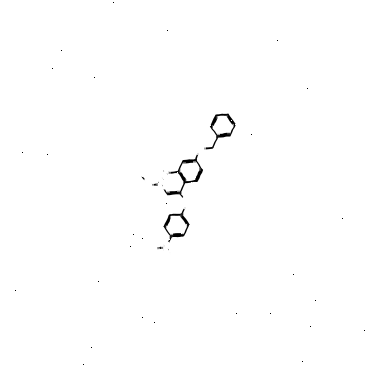 CON1C=C(Oc2ccc([N+](=O)[O-])cc2)c2ccc(OCc3ccccc3)cc2N1